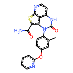 Cc1cc(Oc2ccccn2)ccc1N1C(=O)Nc2ccnc3sc(C(N)=O)c1c23